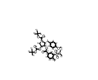 COc1ccc(C[C@@H]2[C@H](OC(=O)c3ccc(F)c(S(=O)(=O)N(C)C)c3)[C@@H](OC(=O)OC(C)(C)C)CN2C(=O)OC(C)(C)C)cc1